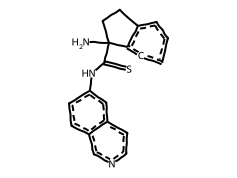 NC1(C(=S)Nc2ccc3cnccc3c2)CCc2ccccc21